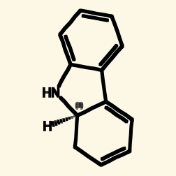 C1=CC[C@H]2Nc3ccccc3C2=C1